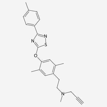 C#CCN(C)CCc1cc(C)c(Oc2nc(-c3ccc(C)cc3)ns2)cc1C